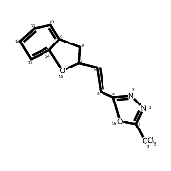 ClC(Cl)(Cl)c1nnc(C=CC2Cc3ccccc3O2)o1